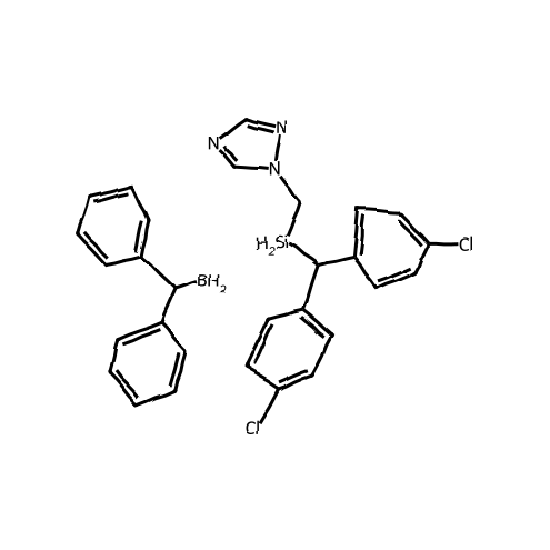 BC(c1ccccc1)c1ccccc1.Clc1ccc(C([SiH2]Cn2cncn2)c2ccc(Cl)cc2)cc1